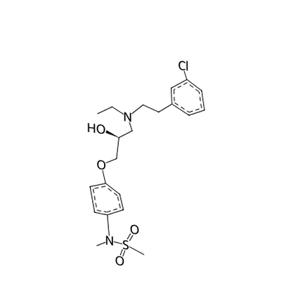 CCN(CCc1cccc(Cl)c1)C[C@H](O)COc1ccc(N(C)S(C)(=O)=O)cc1